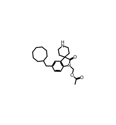 CC(=O)OCN1C(=O)C2(CCNCC2)c2cc(CC3CCCCCCC3)ccc21